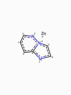 [Zn].c1cnn2ccnc2c1